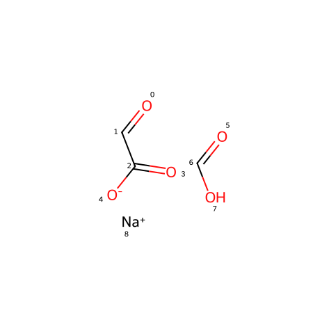 O=CC(=O)[O-].O=CO.[Na+]